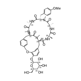 COc1ccc(C[C@H]2C(=O)N[C@@H](C)C(=O)N(C)[C@H]3Cc4ccc(cc4)Oc4cc(ccc4O[C@@H]4O[C@H](CO)[C@@H](O)[C@H](O)[C@H]4O)C[C@@H](C(=O)N[C@H](C)C(=O)N[C@@H](C)C(=O)N2C)N(C)C3=O)cc1